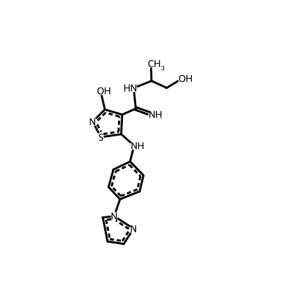 CC(CO)NC(=N)c1c(O)nsc1Nc1ccc(-n2cccn2)cc1